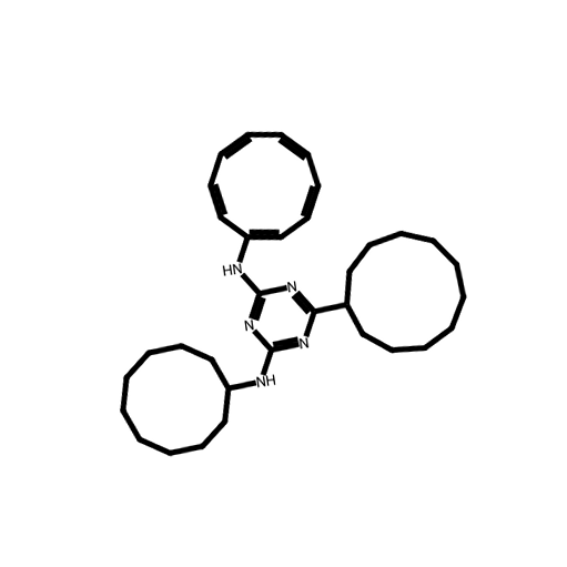 c1ccccc(Nc2nc(NC3CCCCCCCCC3)nc(C3CCCCCCCCCC3)n2)cccc1